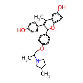 CC1=C(c2ccc(O)cc2)C(c2ccc(OCC(C)N3CCC(C)C3)cc2)Oc2ccc(O)cc21